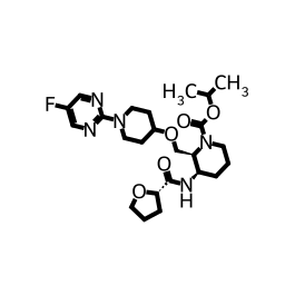 CC(C)OC(=O)N1CCC[C@@H](NC(=O)[C@@H]2CCCO2)[C@H]1COC1CCN(c2ncc(F)cn2)CC1